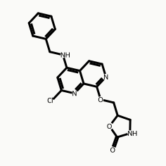 O=C1NCC(COc2nccc3c(NCc4ccccc4)cc(Cl)nc23)O1